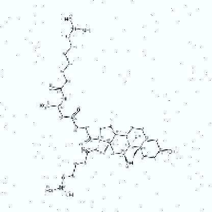 C[C@]12C=CC(=O)C=C1CCC1C3CC[C@](OC(=O)CCCON(O)O)(C(=O)COC(=O)CC(NC(=O)CCCCCON(O)O)C(=O)O)[C@@]3(C)C[C@H](O)[C@@]12F